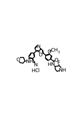 COc1cc(C(=O)NC2CCNCC2F)ccc1-c1cc2nccc(-c3ccc(NC4CCOCC4)c(C#N)c3)c2o1.Cl